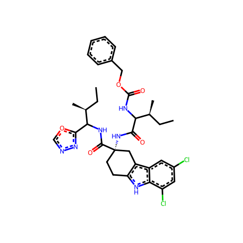 CC[C@H](C)C(NC(=O)OCc1ccccc1)C(=O)N[C@@]1(C(=O)NC(c2nnco2)[C@@H](C)CC)CCc2[nH]c3c(Cl)cc(Cl)cc3c2C1